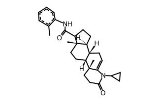 Cc1ccccc1NC(=O)C1CC[C@H]2[C@@H]3CC=C4N(C5CC5)C(=O)CC[C@]4(C)[C@@H]3CC[C@]12C